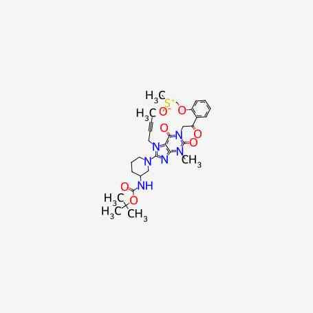 CC#CCn1c(N2CCCC(NC(=O)OC(C)(C)C)C2)nc2c1c(=O)n(CC(=O)c1ccccc1OC[S+](C)[O-])c(=O)n2C